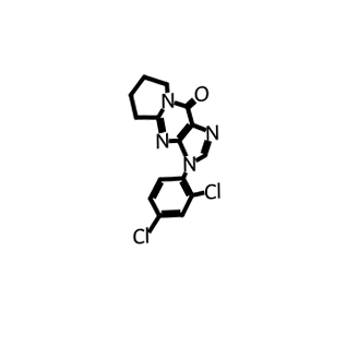 O=c1c2ncn(-c3ccc(Cl)cc3Cl)c2nc2n1CCCC2